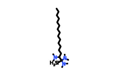 CCCCCCCCCCCCCCC(N(C)C)C([SiH3])(N(C)C)N(C)C